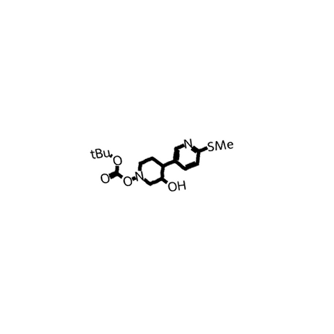 CSc1ccc(C2CCN(OC(=O)OC(C)(C)C)CC2O)cn1